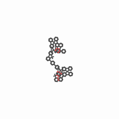 CC1(C)c2ccccc2-c2ccc(N(c3ccc(-c4ccc(-c5cccc6c5C(C)(C)c5cc(N(c7ccc(-c8ccccc8)cc7)c7ccc8c(c7)C7(c9ccccc9-8)c8ccccc8-c8c7cc7c9c(cccc89)-c8ccccc8-7)ccc5-6)cc4)cc3)c3ccc4c(c3)C3(c5ccccc5-4)c4ccccc4-c4cc5c6ccccc6c6ccccc6c5cc43)cc21